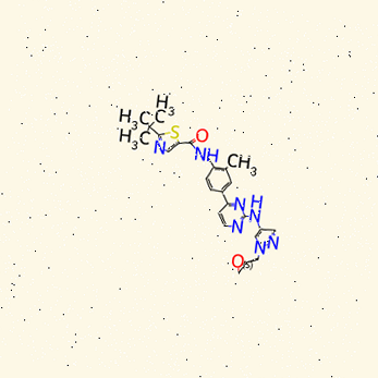 Cc1cc(-c2ccnc(Nc3cnn(C[C@H]4CO4)c3)n2)ccc1CNC(=O)c1cnc(C(C)(C)C)s1